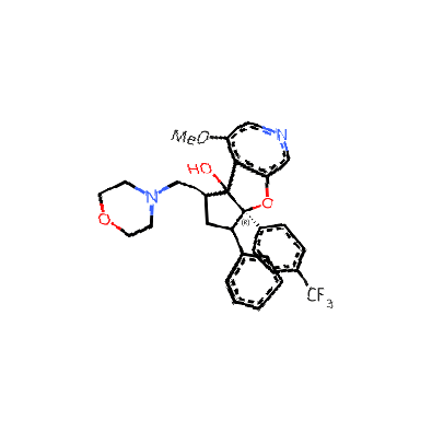 COc1cncc2c1C1(O)C(CN3CCOCC3)CC(c3ccccc3)[C@]1(c1ccc(C(F)(F)F)cc1)O2